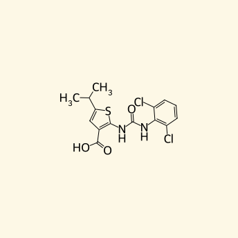 CC(C)c1cc(C(=O)O)c(NC(=O)Nc2c(Cl)cccc2Cl)s1